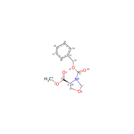 COC(=O)[C@@H]1COCN1C(=O)OCc1ccccc1